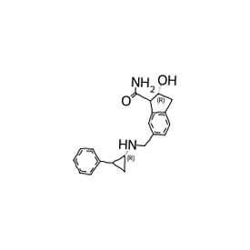 NC(=O)C1c2cc(CN[C@@H]3CC3c3ccccc3)ccc2C[C@H]1O